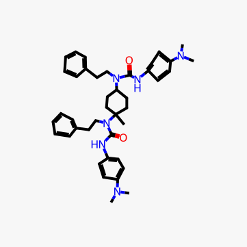 CN(C)c1ccc(NC(=O)N(CCc2ccccc2)C2CCC(C)(N(CCc3ccccc3)C(=O)Nc3ccc(N(C)C)cc3)CC2)cc1